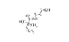 CCC(C)(C)C(=O)NCCCO